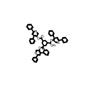 O=C(Oc1cnc(-c2ccccc2)cc1-c1ccccc1)C1CC(C(=O)Oc2cnc(-c3ccccc3)cc2-c2ccccc2)CC(C(O)Oc2cnc(-c3ccccc3)cc2-c2ccccc2)C1